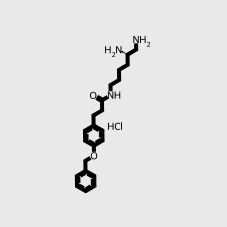 Cl.NC[C@@H](N)CCCCNC(=O)CCc1ccc(OCc2ccccc2)cc1